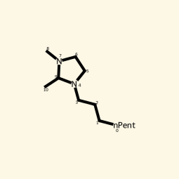 CCCCCCCCN1CCN(C)C1C